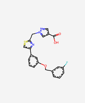 O=C(O)c1cnn(Cc2nc(-c3cccc(OCc4cccc(F)c4)c3)cs2)c1